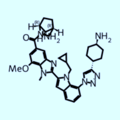 COc1cc(C(=O)N2C[C@H]3CC[C@@H]2[C@@H]3N)cc2nc(-c3cc4cccc(-n5cc([C@H]6CC[C@H](N)CC6)nn5)c4n3CC3CC3)n(C)c12